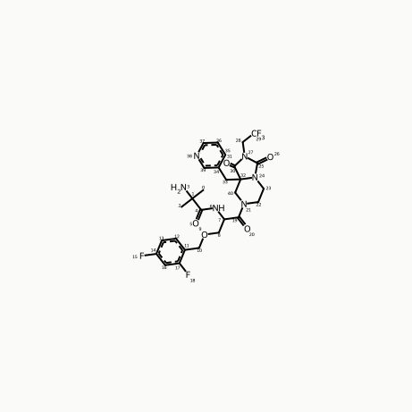 CC(C)(N)C(=O)NC(COCc1ccc(F)cc1F)C(=O)N1CCN2C(=O)N(CC(F)(F)F)C(=O)C2(Cc2cccnc2)C1